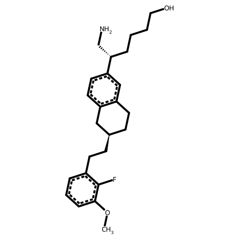 COc1cccc(CC[C@@H]2CCc3cc([C@H](CN)CCCCO)ccc3C2)c1F